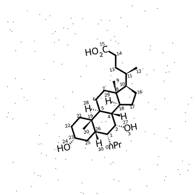 CCC[C@H]1[C@@H](O)[C@@H]2[C@H](CC[C@]3(C)[C@@H]([C@H](C)CCC(=O)O)CC[C@@H]23)[C@@]2(C)CC[C@@H](O)C[C@@H]12